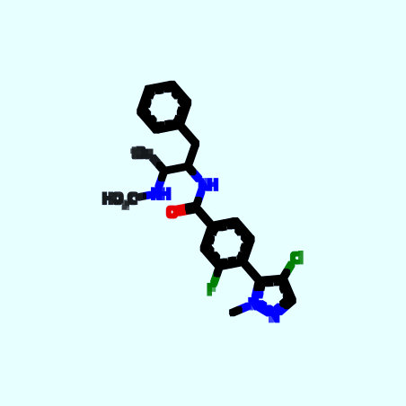 Cn1ncc(Cl)c1-c1ccc(C(=O)NC(Cc2ccccc2)C(NC(=O)O)C(C)(C)C)cc1F